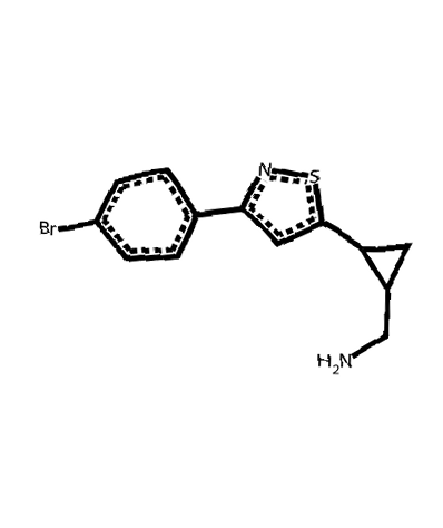 NCC1CC1c1cc(-c2ccc(Br)cc2)ns1